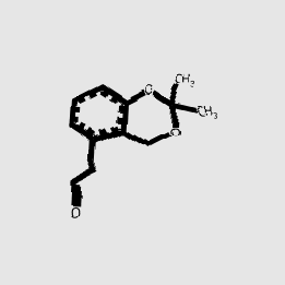 CC1(C)OCc2c(CC=O)cccc2O1